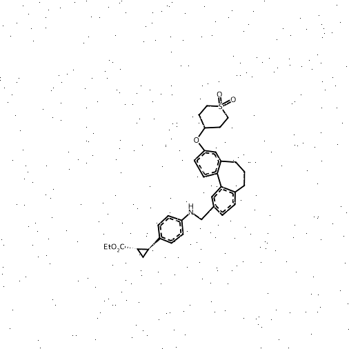 CCOC(=O)[C@H]1C[C@@H]1c1ccc(NCc2ccc3c(c2)-c2ccc(OC4CCS(=O)(=O)CC4)cc2CCC3)cc1